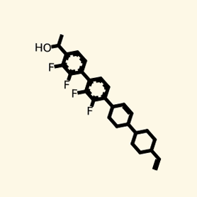 C=CC1CCC(C2C=CC(c3ccc(-c4ccc(C(C)O)c(F)c4F)c(F)c3F)CC2)CC1